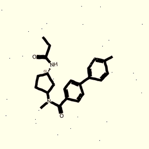 CCC(=O)N[C@H]1CCC(N(C)C(=O)c2ccc(-c3ccc(C)cc3)cc2)C1